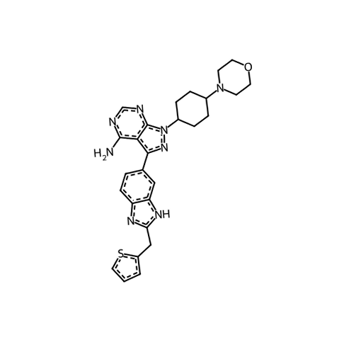 Nc1ncnc2c1c(-c1ccc3nc(Cc4cccs4)[nH]c3c1)nn2C1CCC(N2CCOCC2)CC1